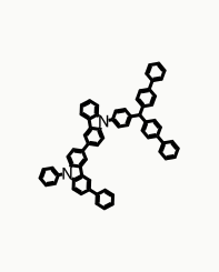 c1ccc(-c2ccc(C(c3ccc(-c4ccccc4)cc3)c3ccc(-n4c5ccccc5c5cc(-c6ccc7c(c6)c6cc(-c8ccccc8)ccc6n7-c6ccccc6)ccc54)cc3)cc2)cc1